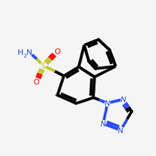 NS(=O)(=O)c1[c]cc(-n2ncnn2)c2c3ccc(cc3)c12